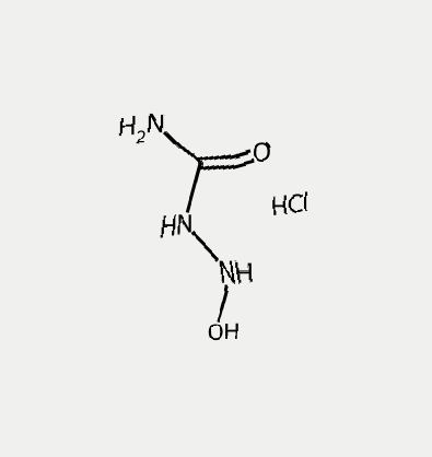 Cl.NC(=O)NNO